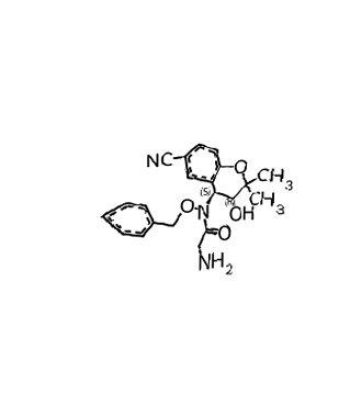 CC1(C)Oc2ccc(C#N)cc2[C@H](N(OCc2ccccc2)C(=O)CN)[C@H]1O